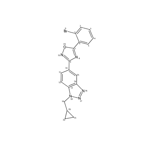 Brc1ccccc1-c1nc(-c2ccc3c(c2)nnn3CC2CC2)no1